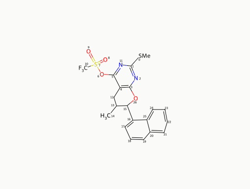 CSc1nc2c(c(OS(=O)(=O)C(F)(F)F)n1)CC(C)C(c1cccc3ccccc13)O2